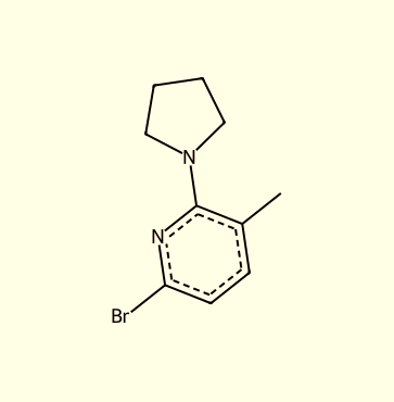 Cc1ccc(Br)nc1N1CCCC1